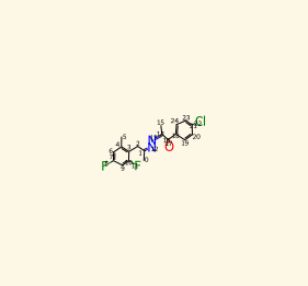 C/C(Cc1c(C)cc(F)cc1F)=N/N=C(/C)C(=O)c1ccc(Cl)cc1